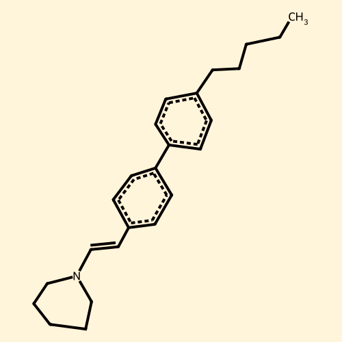 CCCCCc1ccc(-c2ccc(/C=C/N3CCCCC3)cc2)cc1